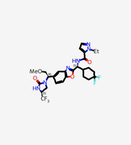 CCn1nccc1C(=O)N[C@H](c1nc2cc([C@H](COC)N3C[C@@H](C(F)(F)F)NC3=O)ccc2o1)C1CCC(F)(F)CC1